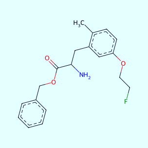 Cc1ccc(OCCF)cc1CC(N)C(=O)OCc1ccccc1